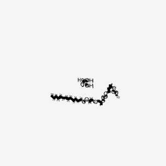 C=C(CCOOOOC(C)COCCOOCCCCCCCCCCCCC)OOOC.O=P(O)(O)O